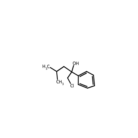 CC(C)CC(O)(CCl)c1ccccc1